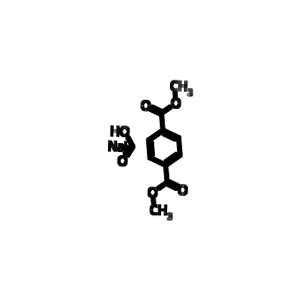 COC(=O)c1ccc(C(=O)OC)cc1.O=CO.[NaH]